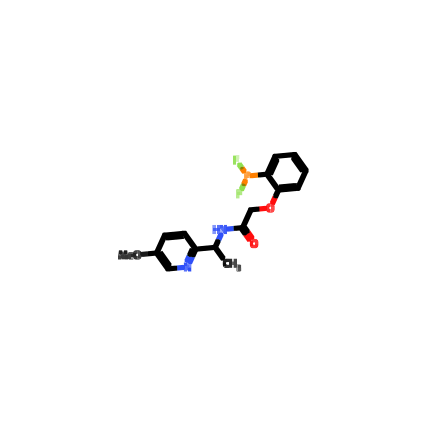 COc1ccc(C(C)NC(=O)COc2ccccc2P(F)F)nc1